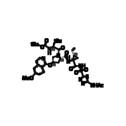 C=C[C@@H]1C[C@]1(NC(=O)[C@@H]1C[C@@H](Oc2nccc3cc(OC)ccc23)CN1C(=O)[C@@H](NC(=O)OC(C)(C)C)C(C)(C)C)C(=O)NS(=O)(=O)c1nnc(NC(C)=O)s1